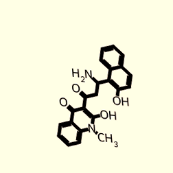 Cn1c(O)c(C(=O)CC(N)c2c(O)ccc3ccccc23)c(=O)c2ccccc21